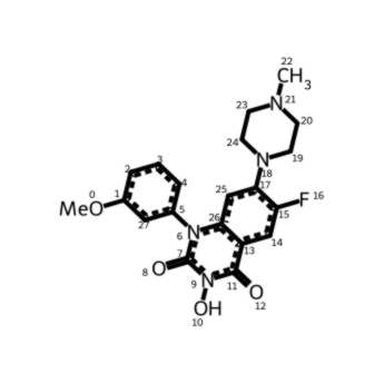 COc1cccc(-n2c(=O)n(O)c(=O)c3cc(F)c(N4CCN(C)CC4)cc32)c1